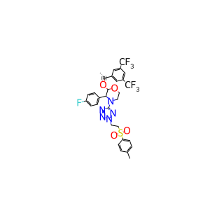 Cc1ccc(S(=O)(=O)CCn2nnc(N3CCOC(O[C@H](C)c4cc(C(F)(F)F)cc(C(F)(F)F)c4)C3c3ccc(F)cc3)n2)cc1